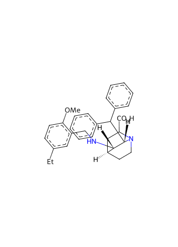 CCc1ccc(OC)c(CN[C@H]2[C@H]3CCN(C(C(=O)O)C3)[C@H]2C(c2ccccc2)c2ccccc2)c1